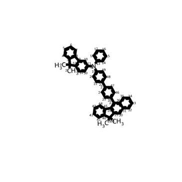 CC1(C)c2ccccc2-c2cc(N(c3ccccc3)c3ccc(-c4ccc(-c5c6c(cc7ccccc57)C(C)(C)c5ccccc5-6)cc4)cc3)ccc21